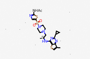 CC(=O)Nc1ncc(S(=O)(=O)N2CCN(C[C@H](C)Nc3nc(C4CC4)nc4c(C)csc34)CC2)s1